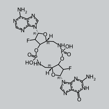 Nc1nc2c(ncn2[C@@H]2O[C@@H]3CNP(=O)(O)OC4C(F)[C@H](n5cnc6c(N)ncnc65)O[C@@H]4CNP(=O)(O)OC3C2F)c(=O)[nH]1